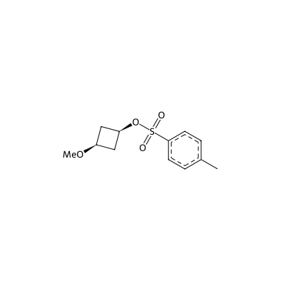 CO[C@H]1C[C@@H](OS(=O)(=O)c2ccc(C)cc2)C1